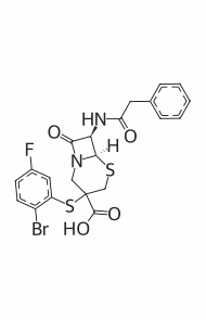 O=C(Cc1ccccc1)N[C@@H]1C(=O)N2CC(Sc3cc(F)ccc3Br)(C(=O)O)CS[C@H]12